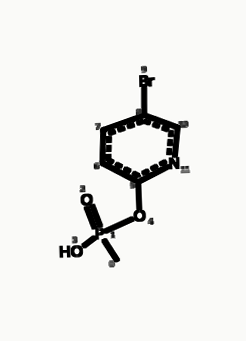 CP(=O)(O)Oc1ccc(Br)cn1